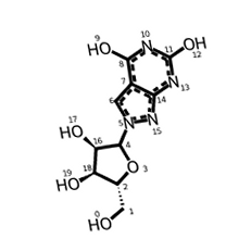 OC[C@H]1OC(n2cc3c(O)nc(O)nc3n2)[C@H](O)[C@@H]1O